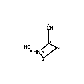 Cl.N#CC1CCN1